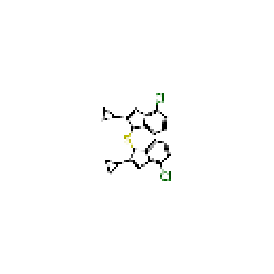 Clc1cccc2c1C=C(C1CC1)C2SC1C(C2CC2)=Cc2c(Cl)cccc21